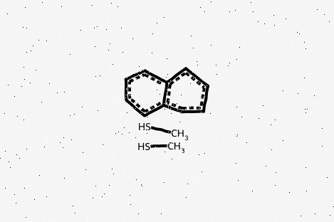 CS.CS.c1ccc2ccccc2c1